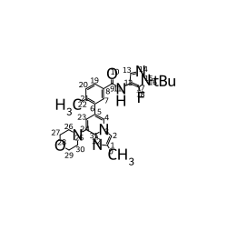 Cc1cn2cc(-c3cc(C(=O)Nc4cnn(C(C)(C)C)c4F)ccc3C)cc(N3CCOCC3)c2n1